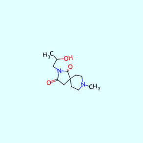 CC(O)CN1C(=O)CC2(CCN(C)CC2)C1=O